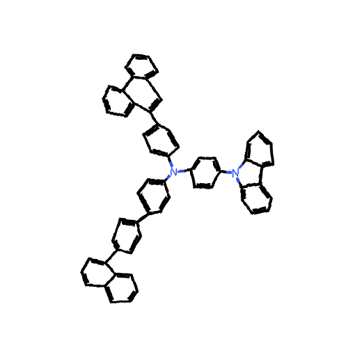 c1ccc2c(-c3ccc(-c4ccc(N(c5ccc(-c6cc7ccccc7c7ccccc67)cc5)c5ccc(-n6c7ccccc7c7ccccc76)cc5)cc4)cc3)cccc2c1